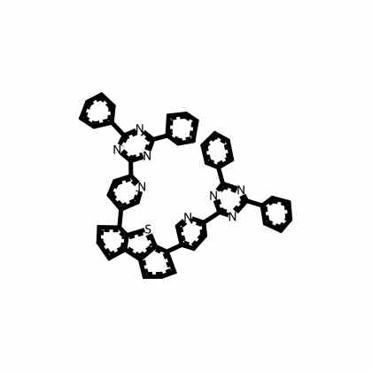 c1ccc(-c2nc(-c3ccccc3)nc(-c3ccc(-c4cccc5c4sc4c(-c6ccc(-c7nc(-c8ccccc8)nc(-c8ccccc8)n7)nc6)cccc45)cn3)n2)cc1